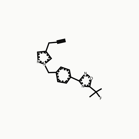 C#CCc1cnn(Cc2ccc(-c3noc(C(C)(C)F)n3)cc2)c1